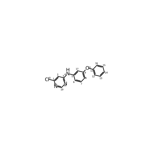 Clc1cc(Nc2cccc(Oc3ccccc3)c2)ncn1